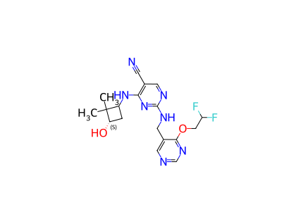 CC1(C)C(Nc2nc(NCc3cncnc3OCC(F)F)ncc2C#N)C[C@@H]1O